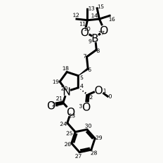 COC(=O)[C@H]1[C@H](CCCB2OC(C)(C)C(C)(C)O2)CCN1C(=O)OCc1ccccc1